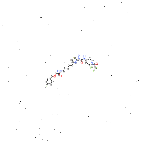 O=C(COCc1ccc(F)cc1)NCCCCCc1csc(NC(=O)NC2CCN(C(=O)C(F)(F)F)CC2)n1